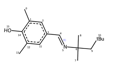 Cc1cc(/C=N/C(C)(C)CC(C)(C)C)cc(C)c1O